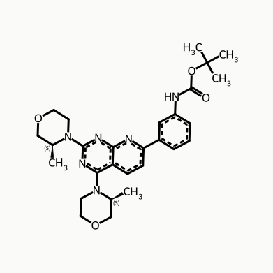 C[C@H]1COCCN1c1nc(N2CCOC[C@@H]2C)c2ccc(-c3cccc(NC(=O)OC(C)(C)C)c3)nc2n1